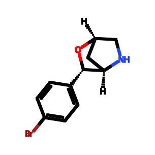 Brc1ccc([C@@H]2O[C@H]3CN[C@@H]2C3)cc1